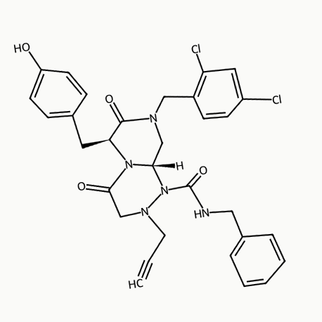 C#CCN1CC(=O)N2[C@@H](Cc3ccc(O)cc3)C(=O)N(Cc3ccc(Cl)cc3Cl)C[C@@H]2N1C(=O)NCc1ccccc1